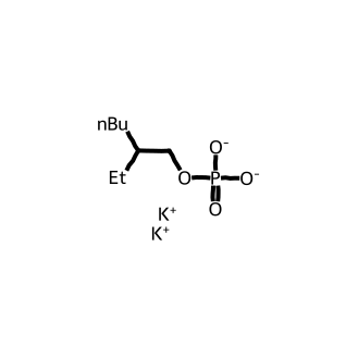 CCCCC(CC)COP(=O)([O-])[O-].[K+].[K+]